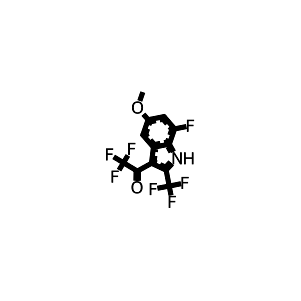 COc1cc(F)c2[nH]c(C(F)(F)F)c(C(=O)C(F)(F)F)c2c1